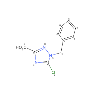 O=C(O)c1nc(Cl)n(Cc2ccccc2)n1